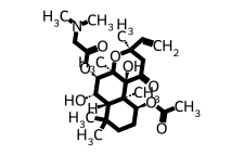 C=C[C@@]1(C)CC(=O)[C@]2(O)[C@@]3(C)[C@@H](OC(C)=O)CCC(C)(C)[C@@H]3[C@H](O)[C@H](OC(=O)CN(C)C)[C@@]2(C)O1